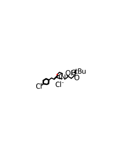 CC(C)(C)OC(=O)CC(O)C[N+]12CCC(CC1)C(=CCc1ccc(Cl)cc1)C2.[Cl-]